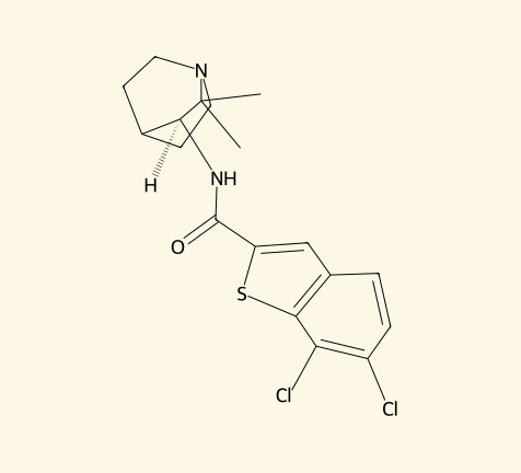 CC1(C)[C@@H](NC(=O)c2cc3ccc(Cl)c(Cl)c3s2)C2CCN1CC2